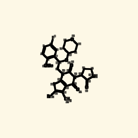 COc1ccc(F)cc1[C@H](Cn1c(=O)n(C2CCNC2=O)c(=O)c2c(C)c(Br)sc21)OC1CCOCC1